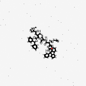 Cn1nnnc1C(S)=CC1=C(C(=O)OC(c2ccccc2)c2ccccc2)N2C(=O)C(NC(=O)C(=NOCC#N)c3csc(NC(c4ccccc4)(c4ccccc4)c4ccccc4)n3)C2SC1